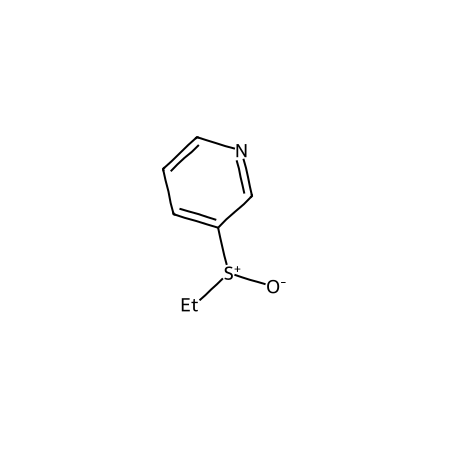 CC[S+]([O-])c1cccnc1